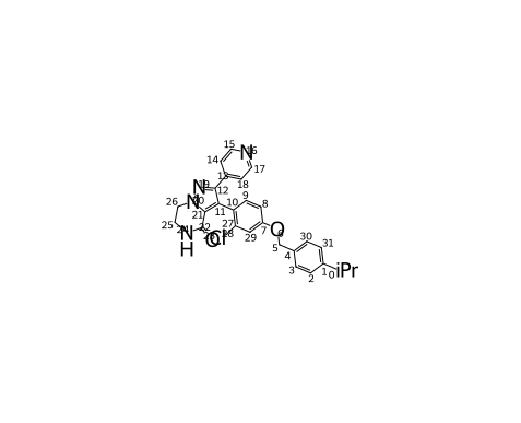 CC(C)c1ccc(COc2ccc(-c3c(-c4ccncc4)nn4c3C(=O)NCC4)c(Cl)c2)cc1